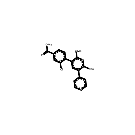 COC(=O)c1ccc(-c2cc(-c3ccncc3)c(C(C)(C)C)nc2OC)c(Cl)c1